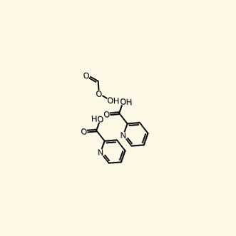 O=C(O)c1ccccn1.O=C(O)c1ccccn1.O=COO